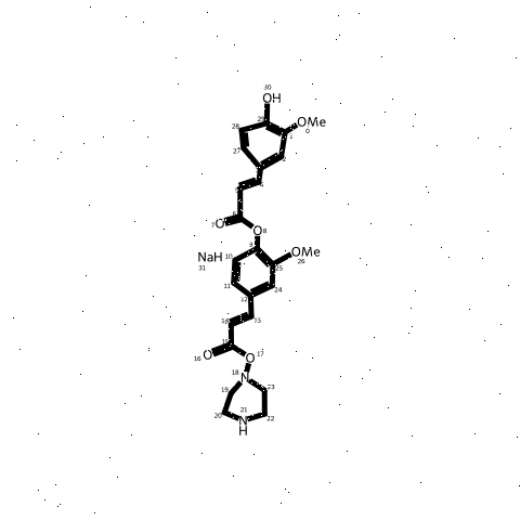 COc1cc(C=CC(=O)Oc2ccc(C=CC(=O)ON3CCNCC3)cc2OC)ccc1O.[NaH]